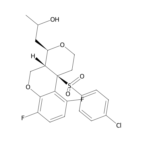 CC(O)C[C@H]1OCC[C@]2(S(=O)(=O)c3ccc(Cl)cc3)c3c(F)ccc(F)c3OC[C@H]12